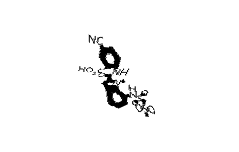 Cn1c(C(=O)Nc2ccc(C#N)cc2C(=O)O)cc2cccc(NS(=O)(=O)CS(C)(=O)=O)c21